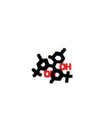 CC1=CC(C)C(C(c2cc(C)cc(C(C)(C)C)c2O)c2cc(C)cc(C(C)(C)C)c2O)CC1